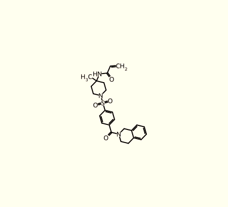 C=CC(=O)NC1(C)CCN(S(=O)(=O)c2ccc(C(=O)N3CCc4ccccc4C3)cc2)CC1